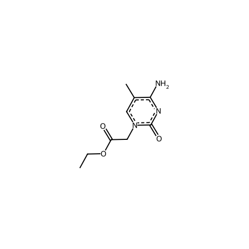 CCOC(=O)Cn1cc(C)c(N)nc1=O